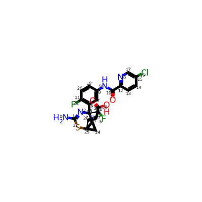 NC1=N[C@](CF)(c2cc(NC(=O)c3ccc(Cl)cn3)ccc2F)C2C[C@]2(/C=C/C(=O)O)S1